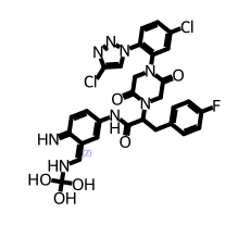 N=C1C=CC(NC(=O)C(Cc2ccc(F)cc2)N2CC(=O)N(c3cc(Cl)ccc3-n3cc(Cl)nn3)CC2=O)=C/C1=C/NC(O)(O)O